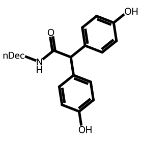 CCCCCCCCCCNC(=O)C(c1ccc(O)cc1)c1ccc(O)cc1